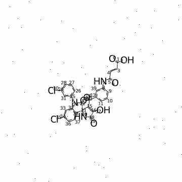 O=C(O)C=CC(=O)Nc1cccc(C(=O)C2=C(O)C(=O)NC23C(=O)N(c2cccc(Cl)c2)c2cc(Cl)ccc23)c1